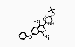 COCc1nc(C(=O)N[C@@H](C)C(=O)OC(C)(C)C)c(O)c2ccc(Oc3ccccc3)cc12